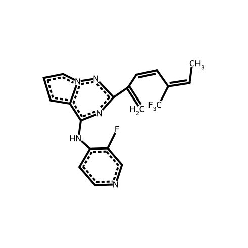 C=C(/C=C\C(=C/C)C(F)(F)F)c1nc(Nc2ccncc2F)c2cccn2n1